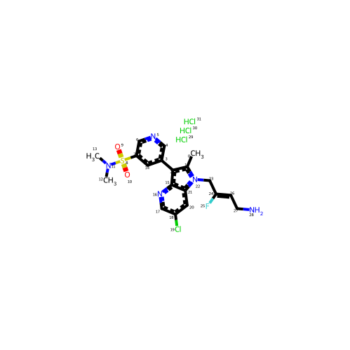 Cc1c(-c2cncc(S(=O)(=O)N(C)C)c2)c2ncc(Cl)cc2n1CC(F)=CCN.Cl.Cl.Cl